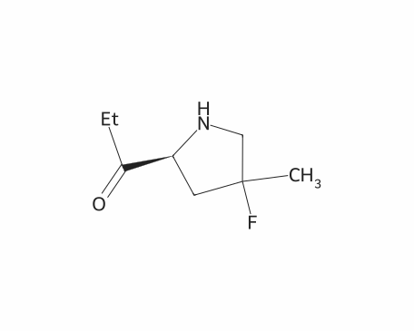 CCC(=O)[C@@H]1CC(C)(F)CN1